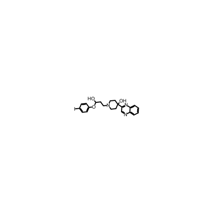 OC(CCN1CCC(O)(c2cnc3ccccc3n2)CC1)Oc1ccc(I)cc1